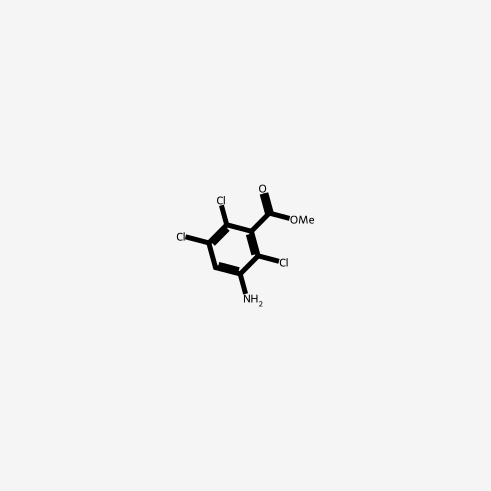 COC(=O)c1c(Cl)c(N)cc(Cl)c1Cl